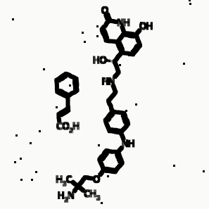 CC(C)(N)COc1ccc(Nc2ccc(CCNC[C@H](O)c3ccc(O)c4[nH]c(=O)ccc34)cc2)cc1.O=C(O)C=Cc1ccccc1